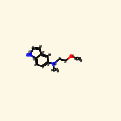 COCCN(C)c1ccc2[nH]ccc2c1